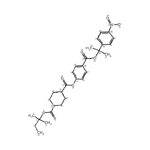 CCC(C)(C)OC(=O)N1CCC(C(=O)Oc2ccc(C(=O)OC(C)(C)c3ccc([N+](=O)[O-])cc3)cc2)CC1